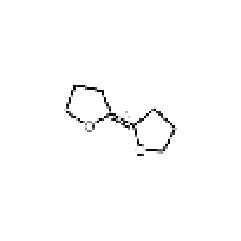 C1CO/C(=C2/CCCO2)C1